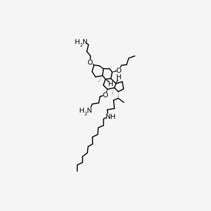 CCCCCCCCCCCCNCCCC(C)[C@H]1CC[C@H]2C3[C@H](OCCCC)CC4C[C@H](OCCCN)CC[C@]4(C)[C@H]3C[C@H](OCCCN)[C@]12C